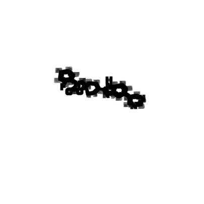 O=C1O[C@]2(CC[C@H](c3nc4cc(-c5cncnc5)ccc4[nH]3)CC2)CN1c1ccccc1F